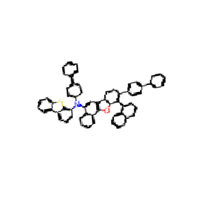 C1=CC2c3cc(N(c4ccc(-c5ccccc5)cc4)c4cccc5c4sc4ccccc45)c4ccccc4c3OC2C(c2cccc3ccccc23)=C1c1ccc(-c2ccccc2)cc1